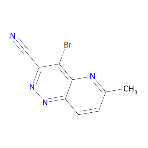 Cc1ccc2nnc(C#N)c(Br)c2n1